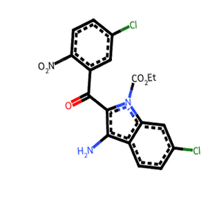 CCOC(=O)n1c(C(=O)c2cc(Cl)ccc2[N+](=O)[O-])c(N)c2ccc(Cl)cc21